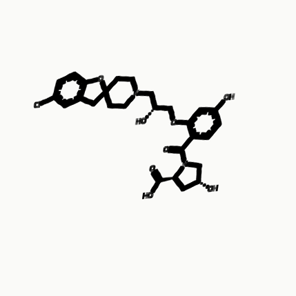 O=C(O)[C@@H]1C[C@@H](O)CN1C(=O)c1ccc(O)cc1OC[C@H](O)CN1CCC2(CC1)Cc1cc(Cl)ccc1O2